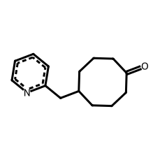 O=C1CCCC(Cc2ccccn2)CCC1